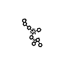 c1ccc(-c2nc(-c3ccc(-c4ccc5ccccc5c4)cc3)nc(-c3cccc(-n4c5ccccc5c5c(-c6ccccc6)cccc54)c3)n2)cc1